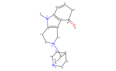 Cn1c2c(c3c1CCN(C1CN4CCC1CC4)C3)C(=O)CC=C2